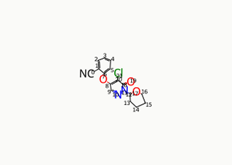 N#Cc1ccccc1Oc1cnn(C2CCCCO2)c(=O)c1Cl